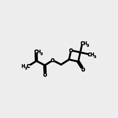 C=C(C)C(=O)OCC1OC(C)(C)C1=O